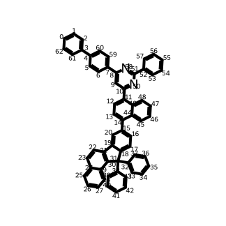 c1ccc(-c2ccc(-c3cc(-c4ccc(-c5ccc6c(c5)-c5ccc7ccccc7c5C6(c5ccccc5)c5ccccc5)c5ccccc45)nc(-c4ccccc4)n3)cc2)cc1